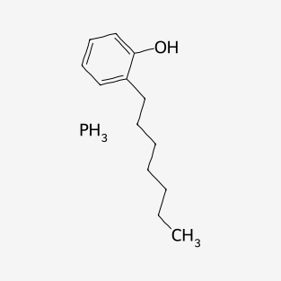 CCCCCCCc1ccccc1O.P